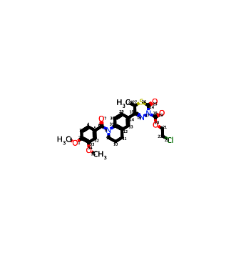 COc1ccc(C(=O)N2CCCc3cc(C4=NN(C(=O)OCCCl)C(=O)SC4C)ccc32)cc1OC